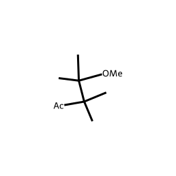 COC(C)(C)C(C)(C)C(C)=O